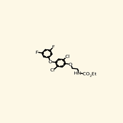 CCOC(=O)NCCOc1cc(Cl)c(Oc2cc(F)cc(F)c2)cc1Cl